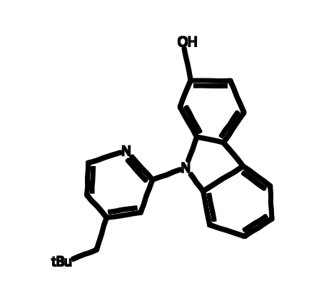 CC(C)(C)Cc1ccnc(-n2c3ccccc3c3ccc(O)cc32)c1